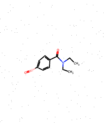 CCN(CC)C(=O)c1ccc(B=O)cc1